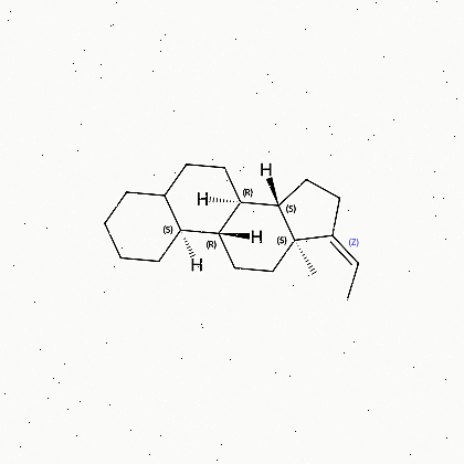 C/C=C1/CC[C@H]2[C@@H]3CCC4CCCC[C@@H]4[C@H]3CC[C@]12C